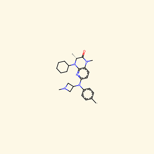 [CH]c1ccc(N(c2ccc3c(n2)N(C2CCCCC2)[C@H](C)C(=O)N3C)C2CN(C)C2)cc1